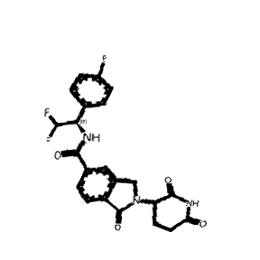 O=C1CCC(N2Cc3cc(C(=O)N[C@H](c4ccc(F)cc4)C(F)F)ccc3C2=O)C(=O)N1